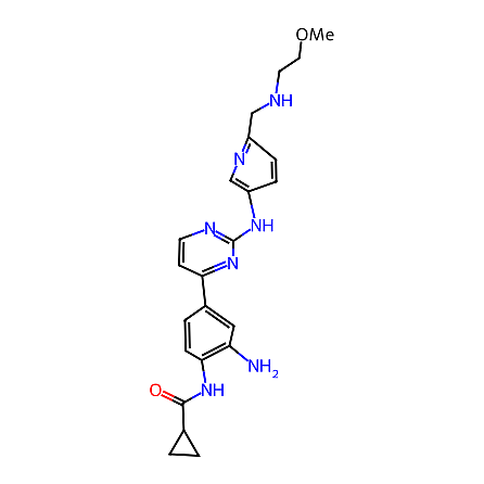 COCCNCc1ccc(Nc2nccc(-c3ccc(NC(=O)C4CC4)c(N)c3)n2)cn1